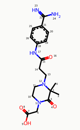 CC1(C)C(=O)N(CC(=O)O)CCN1CCC(=O)Nc1ccc(C(=N)N)cc1